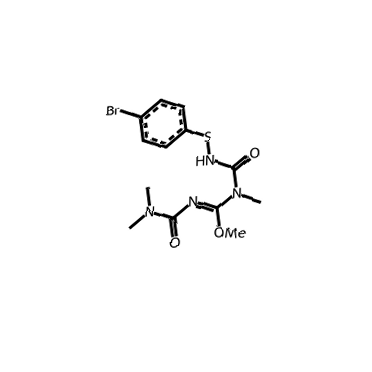 COC(=NC(=O)N(C)C)N(C)C(=O)NSc1ccc(Br)cc1